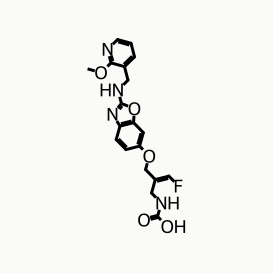 COc1ncccc1CNc1nc2ccc(OCC(=CF)CNC(=O)O)cc2o1